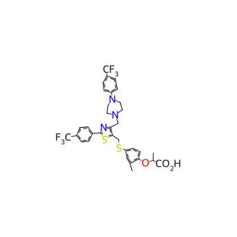 Cc1cc(SCc2sc(-c3ccc(C(F)(F)F)cc3)nc2CN2CCN(c3ccc(C(F)(F)F)cc3)CC2)ccc1OC(C)C(=O)O